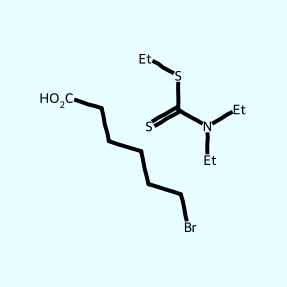 CCSC(=S)N(CC)CC.O=C(O)CCCCCBr